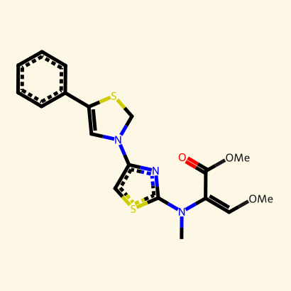 COC=C(C(=O)OC)N(C)c1nc(N2C=C(c3ccccc3)SC2)cs1